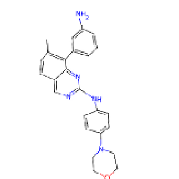 Cc1ccc2cnc(Nc3ccc(N4CCOCC4)cc3)nc2c1-c1cccc(N)c1